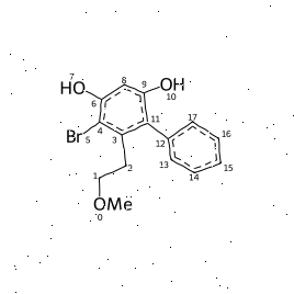 COCCc1c(Br)c(O)cc(O)c1-c1ccccc1